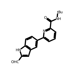 CC(C)(C)NC(=O)c1cccc(-c2ccc3[nH]c(C=O)cc3c2)n1